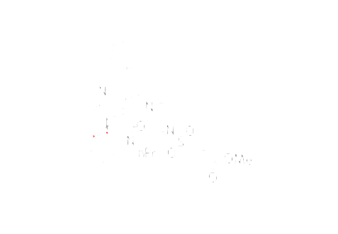 CCCN(C(=O)c1c(CN2CCN(S(=O)(=O)CCC(=O)OC)CC2)c(-c2ccccc2)nc2ccccc12)c1ccccc1C